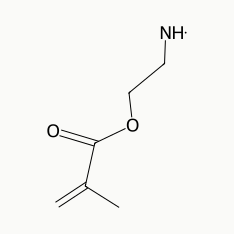 C=C(C)C(=O)OCC[NH]